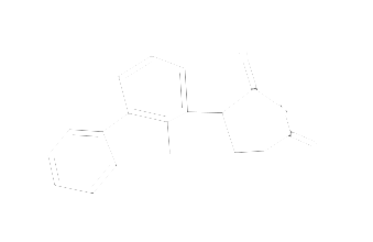 O=C1CCC(c2cccc(-c3ccccc3)c2Cl)C(=O)N1